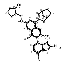 Nc1nc2c(-c3c(C(F)(F)F)cc4c(N5CC6CCC(C5)N6)nc(OCC5COCC5O)nc4c3F)ccc(F)c2s1